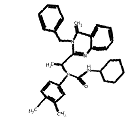 C=C1c2ccccc2N=C(C(C)N(C(=O)NC2CCCCC2)c2ccc(C)c(C)c2)N1Cc1ccccc1